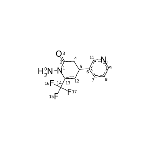 NN1C(=O)CC(c2cccnc2)C=C1C(F)(F)F